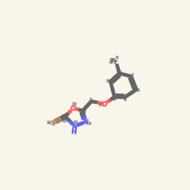 CC(C)c1cccc(OCc2n[nH]c(=S)o2)c1